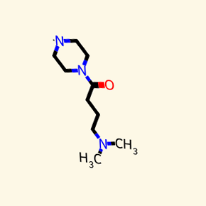 CN(C)CCCC(=O)N1CC[N]CC1